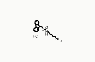 Cl.NCCCCCNC(=O)OCC1c2ccccc2-c2ccccc21